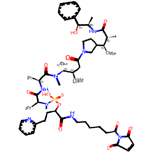 CC[C@H](C)[C@@H]([C@@H](CC(=O)N1CCC([C@H](OC)[C@@H](C)C(=O)N[C@H](C)[C@@H](O)c2ccccc2)C1)OC)N(C)C(=O)[C@@H](NC(=O)C(C(C)C)N(C)P(=O)(O)OC(CCc1ccccn1)C(=O)NCCCCCC(=O)N1C(=O)C=CC1=O)C(C)C